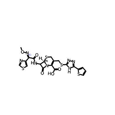 CO/N=C(/C(=O)NC1C(=O)N2C(C(=O)O)=C(CSc3nnc(-c4cccs4)[nH]3)CS[C@H]12)c1cscn1